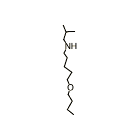 CCCCOCCCCCNCC(C)C